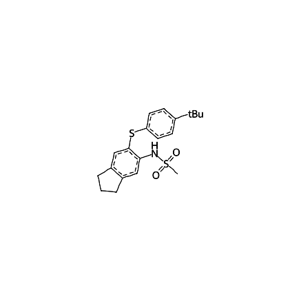 CC(C)(C)c1ccc(Sc2cc3c(cc2NS(C)(=O)=O)CCC3)cc1